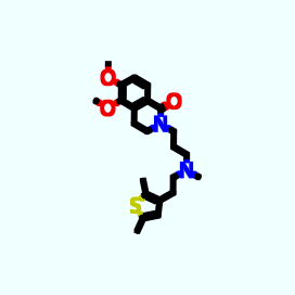 COc1ccc2c(c1OC)CCN(CCCN(C)CCc1cc(C)sc1C)C2=O